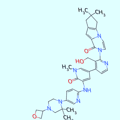 Cn1cc(-c2ccnc(-n3ccn4c5c(cc4c3=O)CC(C)(C)C5)c2CO)cc(Nc2ccc(N3CCN(C4COC4)CC3(C)C)cn2)c1=O